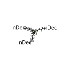 CCCCCCCCCCCCCCCC[Si](F)(CCCCCCCCCCCCCCCC)CCCCCCCCCCCCCCCC